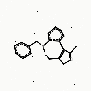 CC1=NCC2=C1c1ccccc1N(Cc1ccccc1)CC2